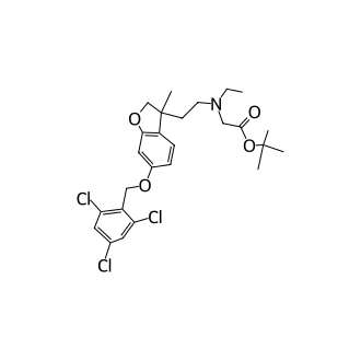 CCN(CCC1(C)COc2cc(OCc3c(Cl)cc(Cl)cc3Cl)ccc21)CC(=O)OC(C)(C)C